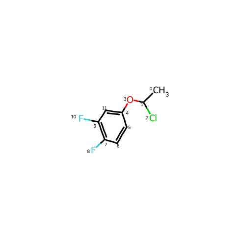 CC(Cl)Oc1ccc(F)c(F)c1